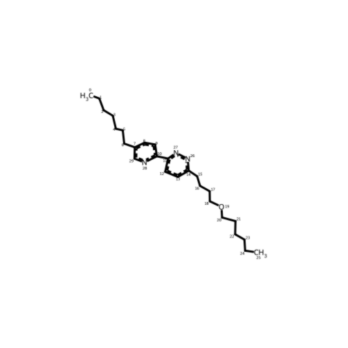 CCCCCCCc1ccc(-c2ccc(CCCCOCCCCCC)nn2)nc1